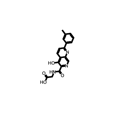 Cc1cccc(-c2ccc3c(O)c(C(=O)NCC(=O)O)ncc3n2)c1